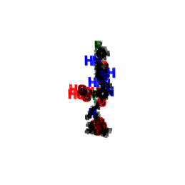 CCN(CCCOc1cc2ncnc(Nc3cc(CC(=O)Nc4cccc(F)c4)[nH]n3)c2cc1F)CCOP(=O)(OC(C)(C)C)OC(C)(C)C.O=P(O)(O)O